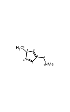 CNCC1=CC(C)N=C1